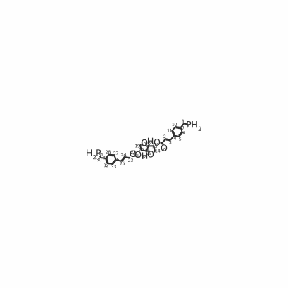 O=C(/C=C/c1ccc(CP)cc1)O[C@@H]1CO[C@H]2[C@@H]1OC[C@H]2OOC/C=C/c1ccc(CP)cc1